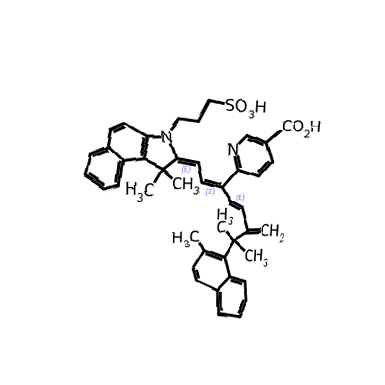 C=C(/C=C/C(=C/C=C1/N(CCCS(=O)(=O)O)c2ccc3ccccc3c2C1(C)C)c1ccc(C(=O)O)cn1)C(C)(C)c1c(C)ccc2ccccc12